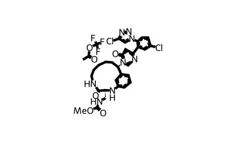 CC(=O)OC(F)(F)F.COC(=O)NC[C@H]1Nc2cccc(c2)[C@@H](n2cnc(-c3cc(Cl)ccc3-n3cc(Cl)nn3)cc2=O)CCCCCNC1=O